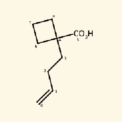 C=CCCC1(C(=O)O)CCC1